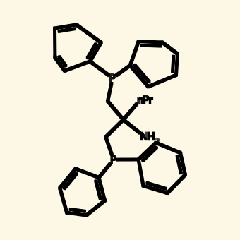 CCCC(N)(CP(c1ccccc1)c1ccccc1)CP(c1ccccc1)c1ccccc1